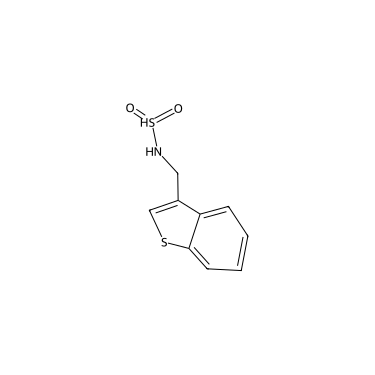 O=[SH](=O)NCc1csc2ccccc12